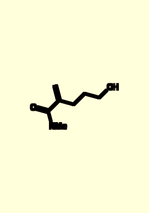 C=C(CCCO)C(=O)NC